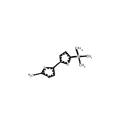 Cc1ccc(-c2ccc([Si](C)(C)C)s2)s1